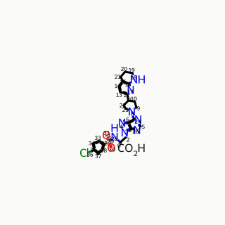 O=C(O)[C@H](Cn1cnc2c(N3CCC(c4ccc5c(n4)NCCC5)CC3)ncnc21)NS(=O)(=O)c1ccc(Cl)cc1